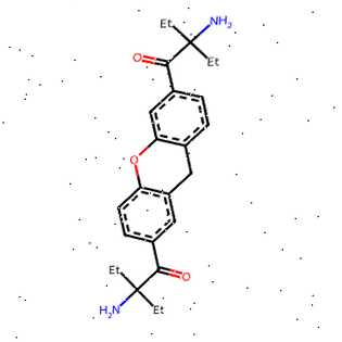 CCC(N)(CC)C(=O)c1ccc2c(c1)Cc1ccc(C(=O)C(N)(CC)CC)cc1O2